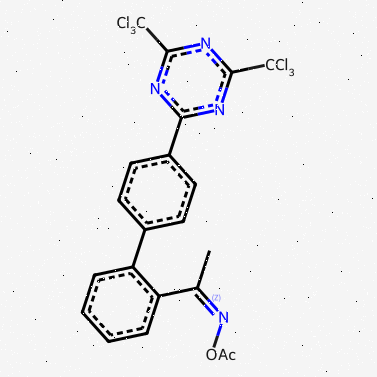 CC(=O)O/N=C(/C)c1ccccc1-c1ccc(-c2nc(C(Cl)(Cl)Cl)nc(C(Cl)(Cl)Cl)n2)cc1